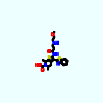 COCCNCCC(=O)Nc1sc2c(c1-c1nc3ccccc3s1)CC(C)N(C(=O)O)C2C